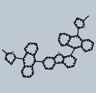 Cc1ccc(-c2c3ccccc3c(-c3ccc4c(c3)sc3c(-c5c6ccccc6c(-c6ccc(C)s6)c6ccccc56)cccc34)c3ccccc23)s1